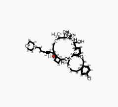 C[C@@H]1[C@@H](C)CCC[C@@](O)(C#CCCN2CCOCC2)[C@@H]2CC[C@H]2CN2CCCCc3cc(Cl)ccc3COc3ccc(cc32)C(O)NS1(=O)=O